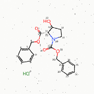 Cl.O=C(OCc1ccccc1)[C@@H]1C(O)CCN1C(=O)OCc1ccccc1